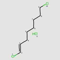 Cl.ClC=CCCCCCCCl